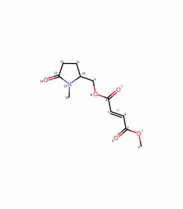 COC(=O)/C=C/C(=O)OCC1CCC(=O)N1C